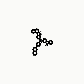 CC1(C)c2ccccc2-c2ccc(N(c3ccc(-c4ccc5ccccc5c4)cc3)c3ccc4c(c3)sc3ccc5ccccc5c34)cc21